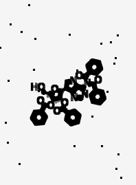 O=C(O[C@@H]1[C@H](OC(=O)c2ccccc2)[C@@H](CO)O[C@H]1C1C=Nc2c1ncnc2N(C(=O)c1ccccc1)C(=O)c1ccccc1)c1ccccc1